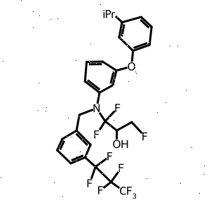 CC(C)c1cccc(Oc2cccc(N(Cc3cccc(C(F)(F)C(F)(F)C(F)(F)F)c3)C(F)(F)C(O)CF)c2)c1